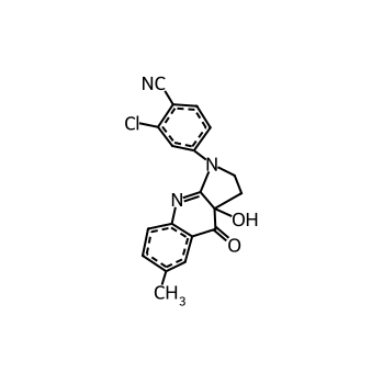 Cc1ccc2c(c1)C(=O)C1(O)CCN(c3ccc(C#N)c(Cl)c3)C1=N2